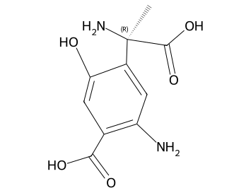 C[C@](N)(C(=O)O)c1cc(N)c(C(=O)O)cc1O